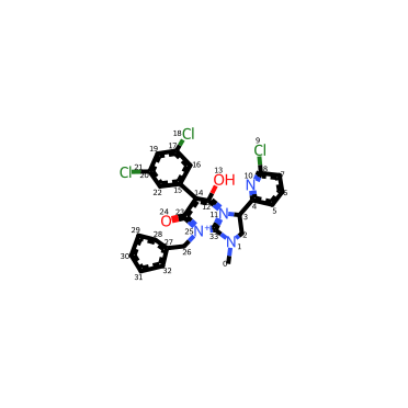 CN1CC(c2cccc(Cl)n2)n2c(O)c(-c3cc(Cl)cc(Cl)c3)c(=O)[n+](Cc3ccccc3)c21